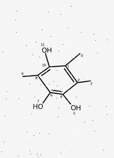 Cc1c(C)c(O)c(O)c(C)c1O